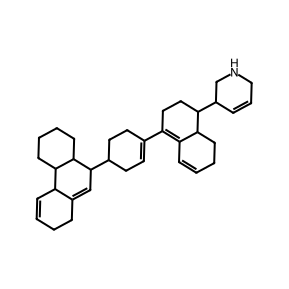 C1=CC2C(=CC(C3CC=C(C4=C5C=CCCC5C(C5C=CCNC5)CC4)CC3)C3CCCCC23)CC1